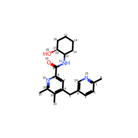 Cc1ccc(Cc2cc(C(=O)NC3CCCC[C@@H]3O)nc(C)c2C)cn1